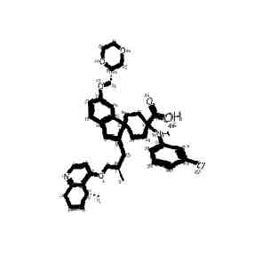 C[C@@H](COc1ccnc2c1[C@H](C)CCC2)CC1Cc2ccc(OC[C@H]3COCCO3)cc2C12CCC(Nc1cccc(Cl)c1)(C(=O)O)CC2